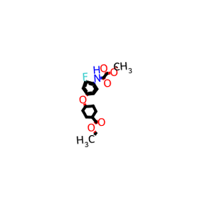 CCOC(=O)C1CCC(Oc2ccc(NC(=O)C(=O)OC)c(F)c2)CC1